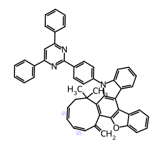 C=C1/C=C\C=C/CC(C)(C)c2c1c1oc3ccccc3c1c1c3ccccc3n(-c3ccc(-c4nc(-c5ccccc5)cc(-c5ccccc5)n4)cc3)c21